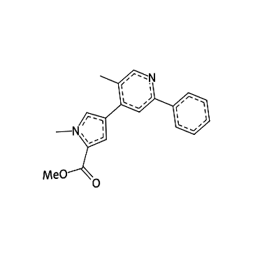 COC(=O)c1cc(-c2cc(-c3ccccc3)ncc2C)cn1C